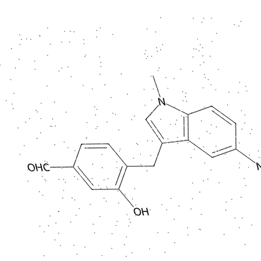 Cn1cc(Cc2ccc(C=O)cc2O)c2cc(N)ccc21